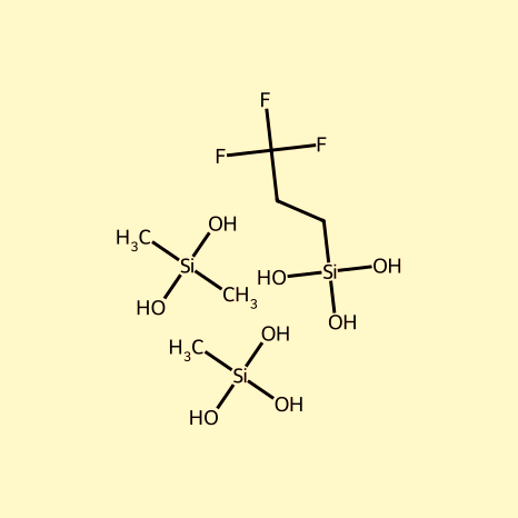 C[Si](C)(O)O.C[Si](O)(O)O.O[Si](O)(O)CCC(F)(F)F